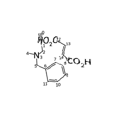 C#CCN(C)Cc1ccccc1.O=C(O)/C=C/C(=O)O